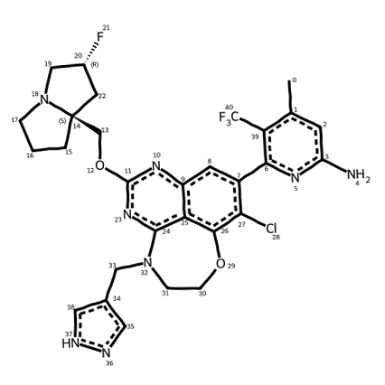 Cc1cc(N)nc(-c2cc3nc(OC[C@@]45CCCN4C[C@H](F)C5)nc4c3c(c2Cl)OCCN4Cc2cn[nH]c2)c1C(F)(F)F